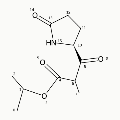 CC(C)OC(=O)C(C)C(=O)[C@@H]1CCC(=O)N1